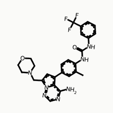 Cc1cc(-c2cc(CN3CCOCC3)n3ncnc(N)c23)ccc1NC(=O)Nc1cccc(C(F)(F)F)c1